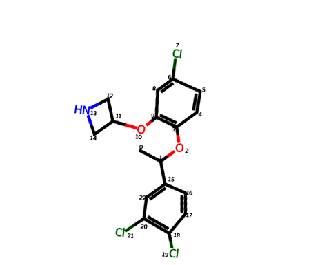 CC(Oc1ccc(Cl)cc1OC1CNC1)c1ccc(Cl)c(Cl)c1